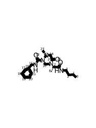 CCCCNC(=O)[C@H](C)N1CN(C(=O)NCc2ccccc2)N(C)CC1=O